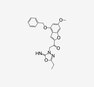 CCc1nn(CC(=O)c2cc3c(OCc4ccccc4)cc(OC)cc3o2)c(=N)o1